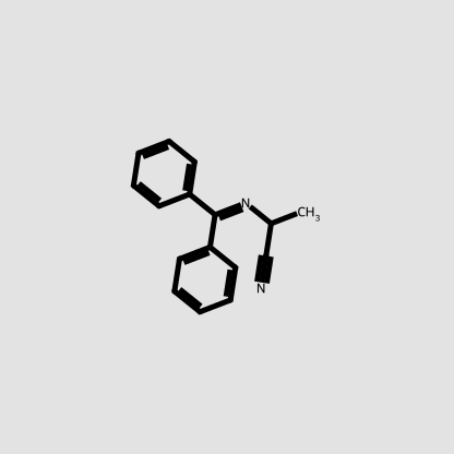 CC(C#N)N=C(c1ccccc1)c1ccccc1